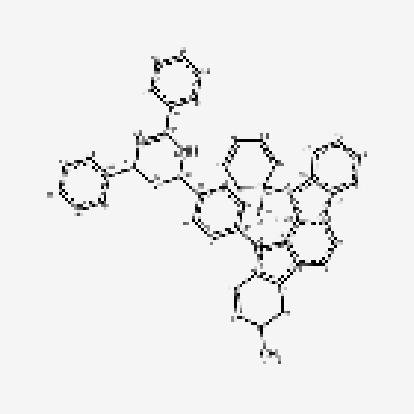 CC1C=Cc2c(c3ccc4c5ccccc5n(C5(C)C=CC=CC5)c4c3n2-c2ccc(C3NC(c4ccccc4)=NC(c4ccccc4)N3)cc2)C1